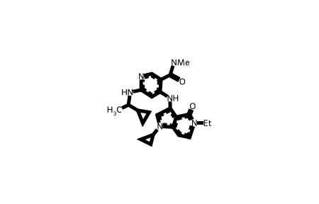 CCn1ccc2c(c(Nc3cc(NC(C)C4CC4)ncc3C(=O)NC)cn2C2CC2)c1=O